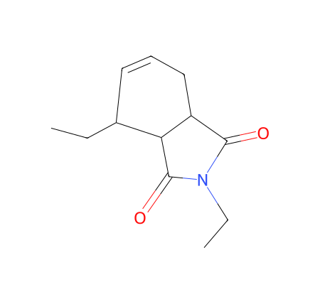 CCC1C=CCC2C(=O)N(CC)C(=O)C12